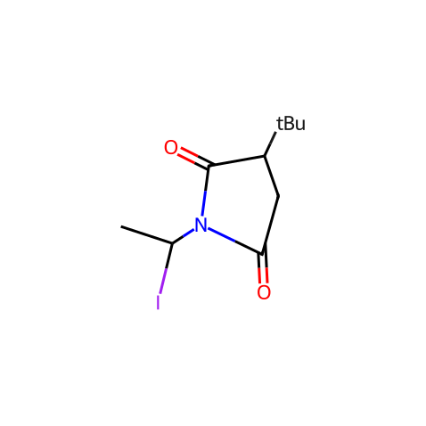 CC(I)N1C(=O)CC(C(C)(C)C)C1=O